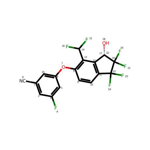 N#Cc1cc(F)cc(Oc2ccc3c(c2C(F)F)[C@H](O)C(F)(F)C3(F)F)c1